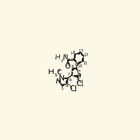 Cn1ncc(Cl)c1-c1cc(-c2ccccc2C(N)=O)sc1Cl